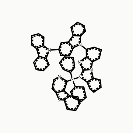 c1ccc(S(c2ccccc2)(c2nccc3sc4ccccc4c23)n2c3ccccc3n3c4cccc(-n5c6ccccc6c6cc(-n7c8ccccc8c8ccccc87)ccc65)c4nc23)cc1